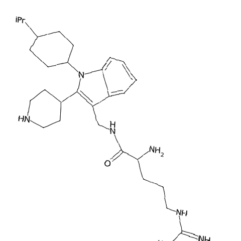 CC(C)C1CCC(n2c(C3CCNCC3)c(CNC(=O)C(N)CCCNC(=N)N)c3ccccc32)CC1